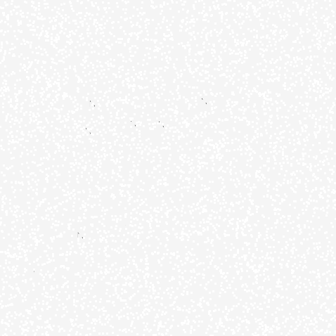 CN(Cc1ccccc1)c1ccc2nnc(CCC(=O)N3CCOCC3)n2n1